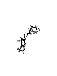 O=C1CCc2cc(OCCN3CCOCC3)ccc21